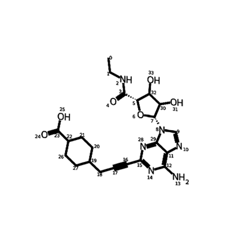 CCNC(=O)[C@H]1O[C@@H](n2cnc3c(N)nc(C#CCC4CCC(C(=O)O)CC4)nc32)C(O)C1O